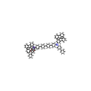 c1ccc(-c2ccc(N(c3ccc(-c4ccc(-c5ccc(-c6ccc(N(c7ccc(-c8ccccc8)cc7)c7cccc8c7C7(c9ccccc9-c9ccccc97)c7ccccc7-8)cc6)cc5)cc4)cc3)c3ccc4c(c3)-c3ccccc3C43c4ccccc4-c4ccccc43)cc2)cc1